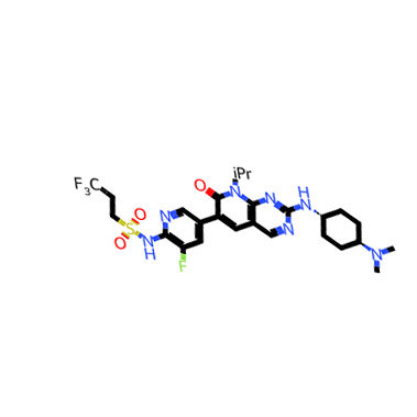 CC(C)n1c(=O)c(-c2cnc(NS(=O)(=O)CCC(F)(F)F)c(F)c2)cc2cnc(N[C@H]3CC[C@H](N(C)C)CC3)nc21